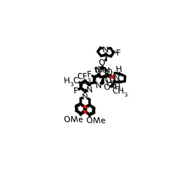 COc1ccc(CN(Cc2ccc(OC)cc2)c2nc(-c3nc4c5c(nc(OC[C@@]67CCCN6C[C@H](F)C7)nc5c3F)N3C[C@H]5CC[C@@H]([C@H]3[C@H](C)O4)N5C(=O)OC(C)(C)C)c(C(F)(F)F)c(C)c2F)cc1